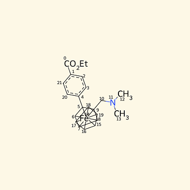 CCOC(=O)c1ccc([C]23[CH]4[CH]5[CH]6[C]2(CN(C)C)[Fe]56432789[CH]3[CH]2[CH]7[CH]8[CH]39)cc1